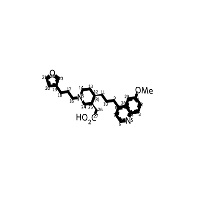 COc1ccc2nccc(CCC[C@@H]3CCN(CCCc4ccoc4)C[C@@H]3CC(=O)O)c2c1